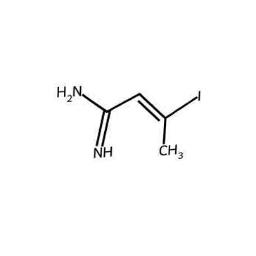 C/C(I)=C\C(=N)N